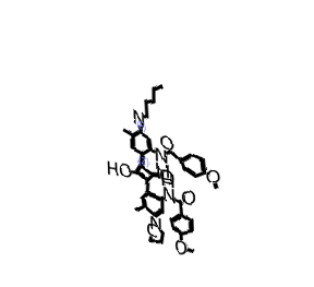 CCCCC/N=C1C=C(NC(=O)c2ccc(OC)cc2)/C(=C2\C(=O)C(c3cc(C)c(N4CCCC4)cc3NC(=O)c3ccc(OC)cc3)=C2O)C=C\1C